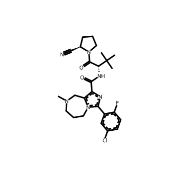 CN1CCCn2c(-c3cc(Cl)ccc3F)nc(C(=O)N[C@H](C(=O)N3CCC[C@@H]3C#N)C(C)(C)C)c2C1